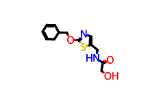 O=C(CO)NCc1cnc(OCC2C=CC=CC2)s1